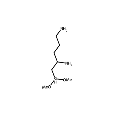 CO[SiH](CC(N)CCCN)OC